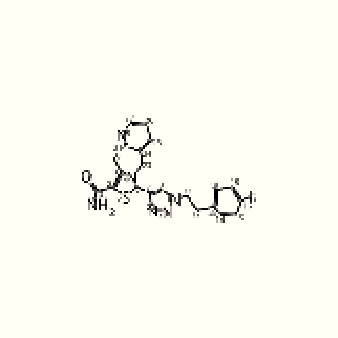 CC1=C(C(N)=O)SC(c2cn(CCc3ccc(F)cc3)nn2)N1Cc1cccnc1